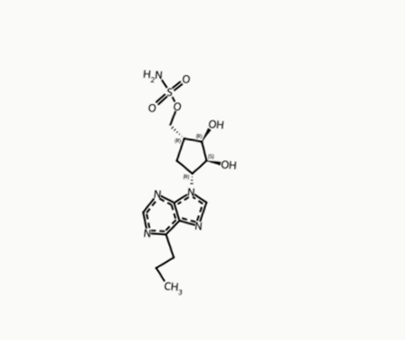 CCCc1ncnc2c1ncn2[C@@H]1C[C@H](COS(N)(=O)=O)[C@@H](O)[C@H]1O